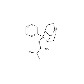 O=C(OC1(c2ccccc2)C2CC3CC1CC(C2)N3)C(Br)Br